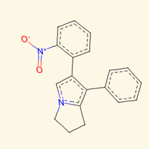 O=[N+]([O-])c1ccccc1-c1cn2c(c1-c1ccccc1)CCC2